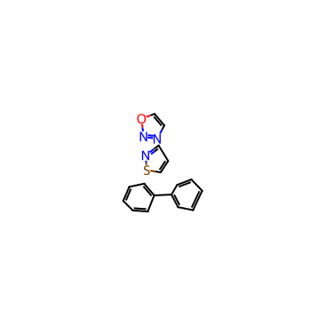 c1ccc(-c2ccccc2)cc1.c1cnsc1.c1conn1